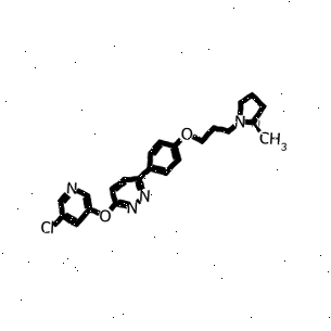 C[C@@H]1CCCN1CCCOc1ccc(-c2ccc(Oc3cncc(Cl)c3)nn2)cc1